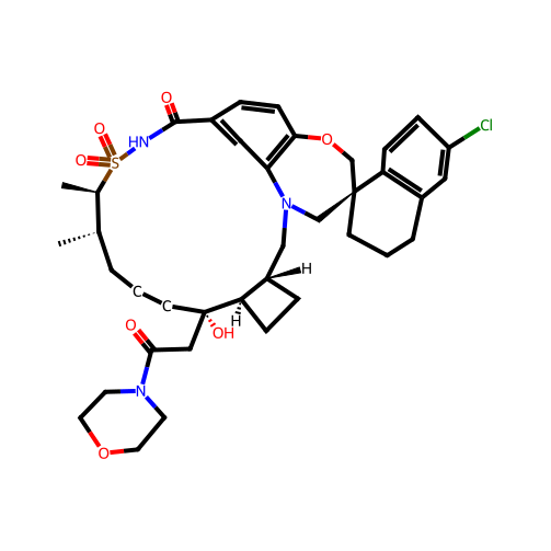 C[C@@H]1[C@@H](C)CCC[C@](O)(CC(=O)N2CCOCC2)[C@@H]2CC[C@H]2CN2C[C@@]3(CCCc4cc(Cl)ccc43)COc3ccc(cc32)C(=O)NS1(=O)=O